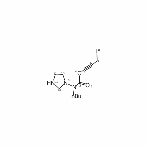 CCCCN(C(=O)OC#CCI)N1CCNC1